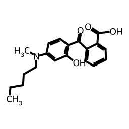 CCCCCN(C)c1ccc(C(=O)c2ccccc2C(=O)O)c(O)c1